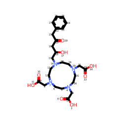 O=C(O)CN1CCN(CC(=O)O)CCN(CC(O)CC(=O)Cc2ccccc2)CCN(CC(=O)O)CC1